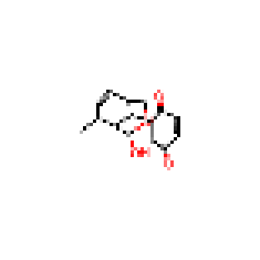 CC1C=CC2COC(O)C1C2C1=CC(=O)C=CC1=O